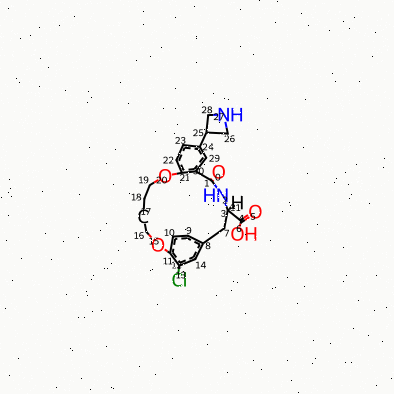 O=C1N[C@H](C(=O)O)Cc2ccc(c(Cl)c2)OCCCCOc2ccc(C3CNC3)cc21